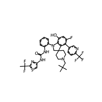 CC(C)(C)CN1CCC2(CC1)CN(c1ccccc1NC(=O)Nc1csc(C(C)(F)F)n1)c1c(O)cc(F)c(-c3ccc(C(F)(F)F)nc3)c12